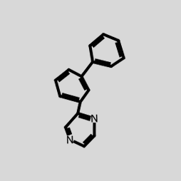 c1ccc(-c2cccc(-c3cnccn3)c2)cc1